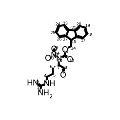 N=C(N)NCCC[C@@H]([C]=O)N(C(=O)OCC1c2ccccc2-c2ccccc21)[N+](=O)[O-]